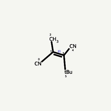 [C-]#[N+]/C(C)=C(/C#N)C(C)(C)C